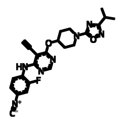 [C-]#[N+]c1ccc(Nc2ncnc(OC3CCN(c4nc(C(C)C)no4)CC3)c2C#C)c(F)c1